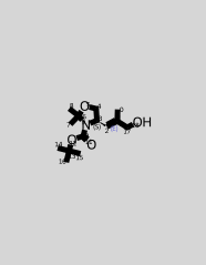 C/C(=C\[C@H]1COC(C)(C)N1C(=O)OC(C)(C)C)CO